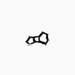 c1ccc2c(c1)-c1ccsc1-2